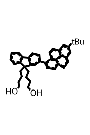 CC(C)(C)c1cc2ccc3ccc(-c4ccc5c(c4)C(CCCCO)(CCCCO)c4ccccc4-5)c4ccc(c1)c2c34